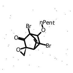 CCCCCOC1CC2C(Br)=CC1(Br)C(=O)[C@]21CO1